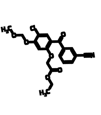 CCOC(=O)COc1cc(OCOC)c(Cl)cc1C(=O)c1cccc(C#N)c1